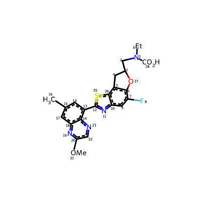 CCN(CC1Cc2c(c(F)cc3nc(-c4cc(C)cc5nc(OC)cnc45)sc23)O1)C(=O)O